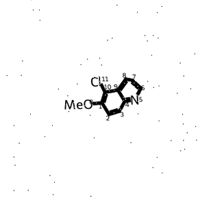 COc1ccc2ncccc2c1Cl